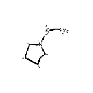 CNSN1CCCC1